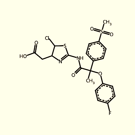 CC(Oc1ccc(F)cc1)(C(=O)NC1=NC(CC(=O)O)C(Cl)S1)c1ccc(S(C)(=O)=O)cc1